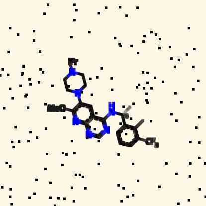 COc1nc2ncnc(N[C@H](C)c3cccc(C(F)(F)F)c3C)c2cc1N1CCN(C(C)C)CC1